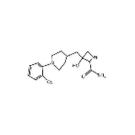 N#Cc1ccccc1N1CCC([CH]C2(O)CNC2C(N)=O)CC1